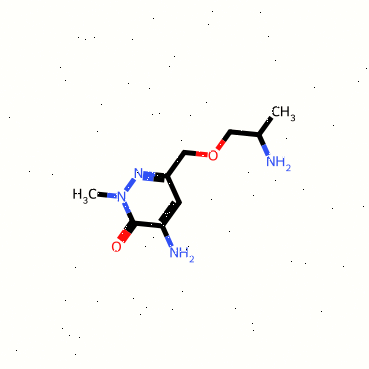 CC(N)COCc1cc(N)c(=O)n(C)n1